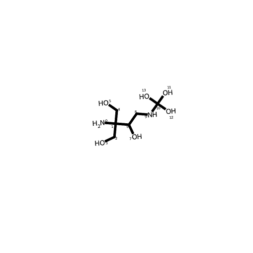 NC(CO)(CO)C(O)CNC(O)(O)O